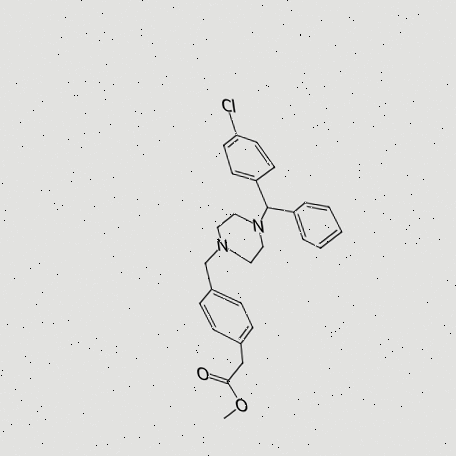 COC(=O)Cc1ccc(CN2CCN(C(c3ccccc3)c3ccc(Cl)cc3)CC2)cc1